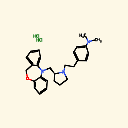 CN(C)c1ccc(CCN2CCC[C@H]2CN2c3ccccc3COc3ccccc32)cc1.Cl.Cl